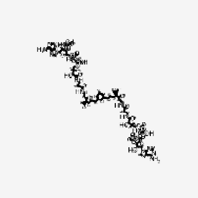 CC(C)(COP(=O)(O)OP(=O)(O)OCC1OC(n2cnc3c(N)ncnc32)C(O)C1OP(=O)(O)O)C(O)C(=O)NCCC(=O)NCCC(=O)C1(CCCc2cccc(CCCC3(C(=O)CCNC(=O)CCNC(=O)C(O)C(C)(C)COP(=O)(O)OP(=O)(O)OCC4OC(n5cnc6c(N)ncnc65)C(O)C4OP(=O)(O)O)CC3)c2)CC1